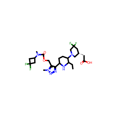 CCC1NC(c2nnn(C)c2COC(=O)N(C)C2CC(F)(F)C2)CCC1N1C[C@@H](CC(=O)O)CC(F)(F)C1